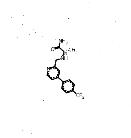 C[C@H](NCc1cc(-c2ccc(C(F)(F)F)cc2)ccn1)C(N)=O